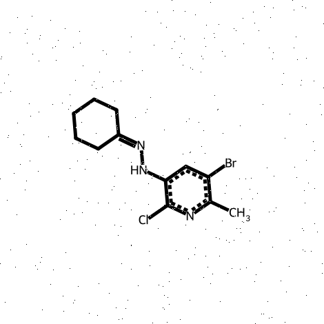 Cc1nc(Cl)c(NN=C2CCCCC2)cc1Br